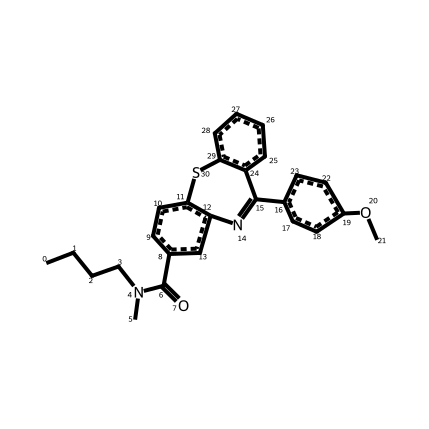 CCCCN(C)C(=O)c1ccc2c(c1)N=C(c1ccc(OC)cc1)c1ccccc1S2